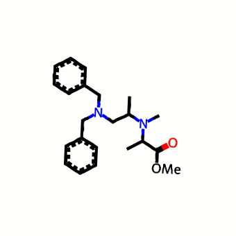 COC(=O)C(C)N(C)C(C)CN(Cc1ccccc1)Cc1ccccc1